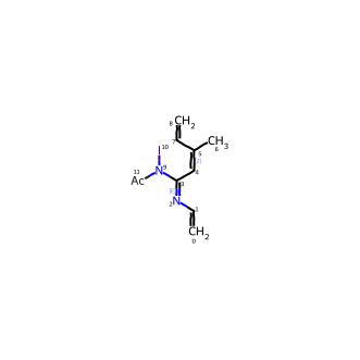 C=C/N=C(\C=C(\C)C=C)N(I)C(C)=O